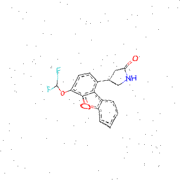 O=C1CC(c2ccc(OC(F)F)c3oc4ccccc4c23)CN1